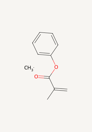 C=C(C)C(=O)Oc1ccccc1.[CH3]